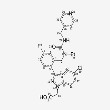 CCN(Cc1cc(F)ccc1-c1nn(CC(=O)O)c2ccc(Cl)cc12)C(=O)NCc1ccncc1